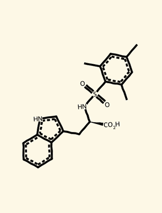 Cc1cc(C)c(S(=O)(=O)N[C@H](Cc2c[nH]c3ccccc23)C(=O)O)c(C)c1